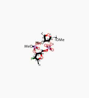 COC[C@H]1O[C@@H](C)C(OC)[C@H]1OP(=O)(O)OC[C@H]1O[C@@H](C)C(F)[C@H]1OP(=O)(O)OC